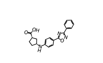 O=C(O)[C@@H]1CC[C@H](Nc2ccc(-c3nc(-c4ccccc4)no3)cc2)C1